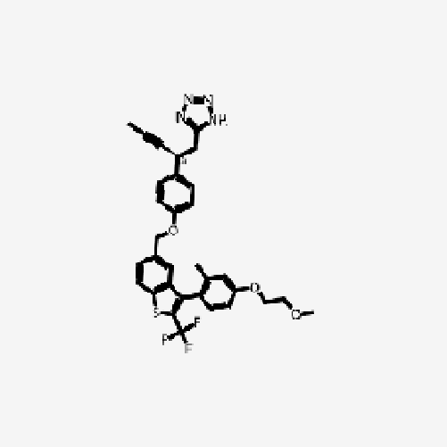 CC#C[C@@H](Cc1nnn[nH]1)c1ccc(OCc2ccc3sc(C(F)(F)F)c(-c4ccc(OCCOC)cc4C)c3c2)cc1